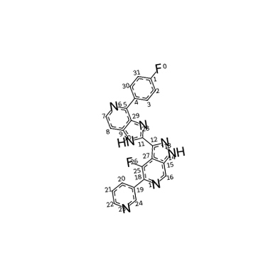 Fc1ccc(-c2nccc3[nH]c(-c4n[nH]c5cnc(-c6cccnc6)c(F)c45)nc23)cc1